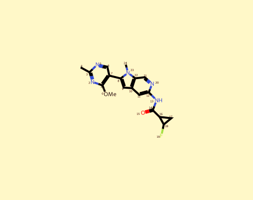 COc1nc(C)ncc1-c1cc2cc(NC(=O)C3CC3F)ncc2n1C